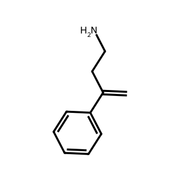 C=C(CCN)c1ccccc1